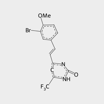 COc1ccc(/C=C/c2cc(C(F)(F)F)[nH]c(=O)n2)cc1Br